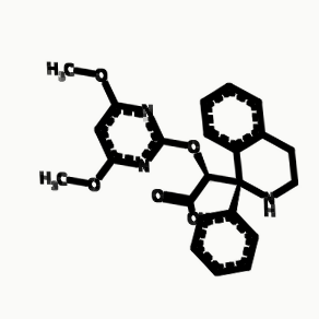 COc1cc(OC)nc(O[C@H](C(=O)O)[C@@]2(c3ccccc3)NCCc3ccccc32)n1